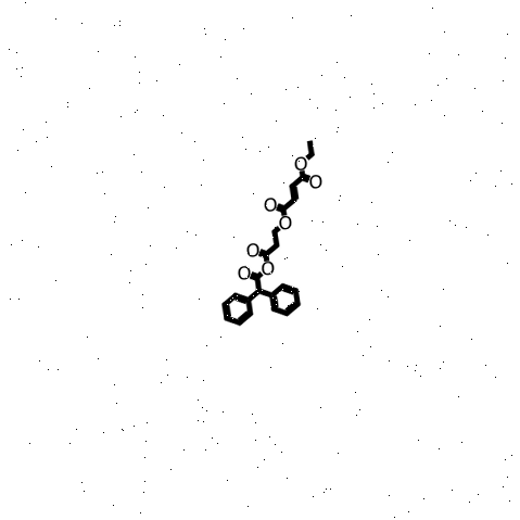 CCOC(=O)C=CC(=O)OCCC(=O)OC(=O)C(c1ccccc1)c1ccccc1